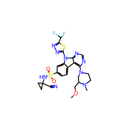 COCC1CN(c2ncnc3c2c2ccc(S(=O)(=O)NC4(C#N)CC4)cc2n3-c2nnc(C(F)F)s2)CCN1C